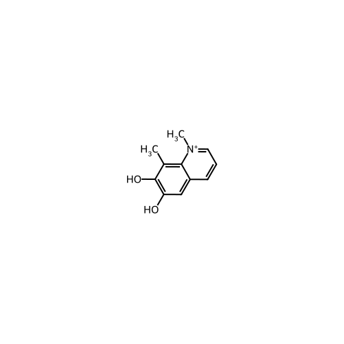 Cc1c(O)c(O)cc2ccc[n+](C)c12